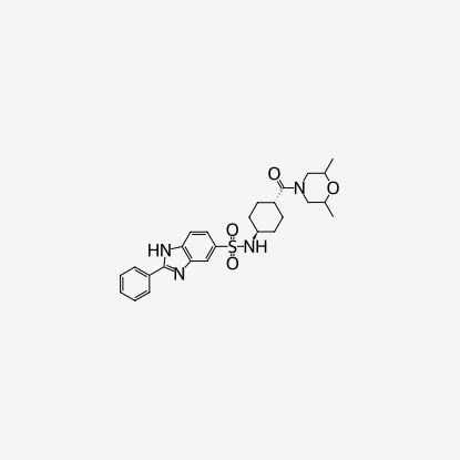 CC1CN(C(=O)[C@H]2CC[C@H](NS(=O)(=O)c3ccc4[nH]c(-c5ccccc5)nc4c3)CC2)CC(C)O1